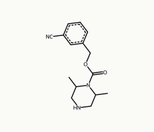 CC1CNCC(C)N1C(=O)OCc1cccc(C#N)c1